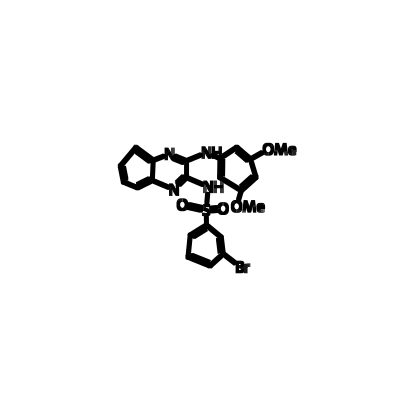 COc1cc(Nc2nc3ccccc3nc2NS(=O)(=O)c2cccc(Br)c2)cc(OC)c1